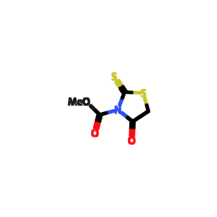 COC(=O)N1C(=O)CSC1=S